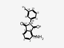 Nc1cccc2c1C(=O)N(c1cccc(I)c1)C2=O